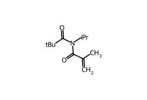 C=C(C)C(=O)N(C(=O)C(C)(C)C)C(C)C